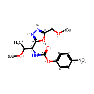 CC(OC(C)(C)C)[C@H](NC(=O)Oc1ccc([N+](=O)[O-])cc1)c1nnc(COC(C)(C)C)o1